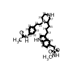 CNS(=O)(=O)Cc1ccc2[nH]cc(CCCC3CNCCN3CCc3ccc(NC(C)=O)cc3)c2c1